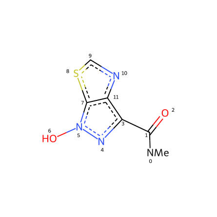 CNC(=O)c1nn(O)c2scnc12